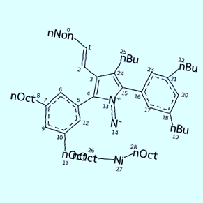 CCCCCCCCCC=CC1=C(c2cc(CCCCCCCC)cc(CCCCCCCC)c2)[N+](=[N-])C(c2cc(CCCC)cc(CCCC)c2)=C1CCCC.CCCCCCC[CH2][Ni][CH2]CCCCCCC